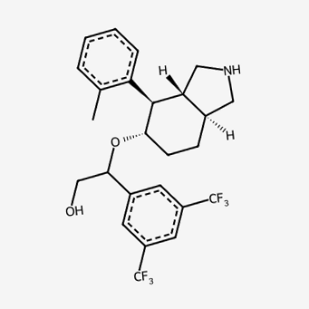 Cc1ccccc1[C@H]1[C@@H]2CNC[C@H]2CC[C@@H]1OC(CO)c1cc(C(F)(F)F)cc(C(F)(F)F)c1